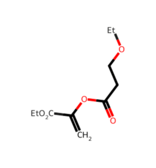 C=C(OC(=O)CCOCC)C(=O)OCC